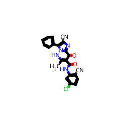 Cc1[nH]n2c(-c3ccccc3)c(C#N)nc2c(=O)c1C(=O)Nc1cc(Cl)ccc1C#N